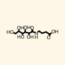 O=C(O)CCCNC(=O)C(O)C(O)C(O)C(O)CO